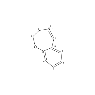 C1=[N+]CCOc2ccccc21